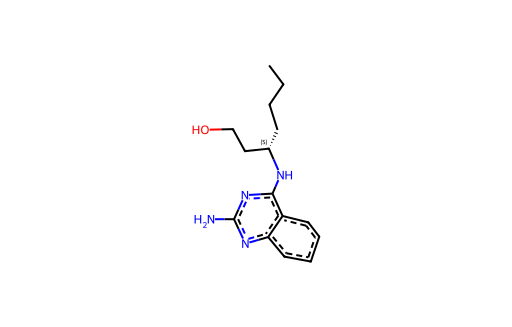 CCCC[C@@H](CCO)Nc1nc(N)nc2ccccc12